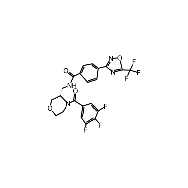 O=C(NC[C@H]1COCCN1C(=O)c1cc(F)c(F)c(F)c1)c1ccc(-c2noc(C(F)(F)F)n2)cc1